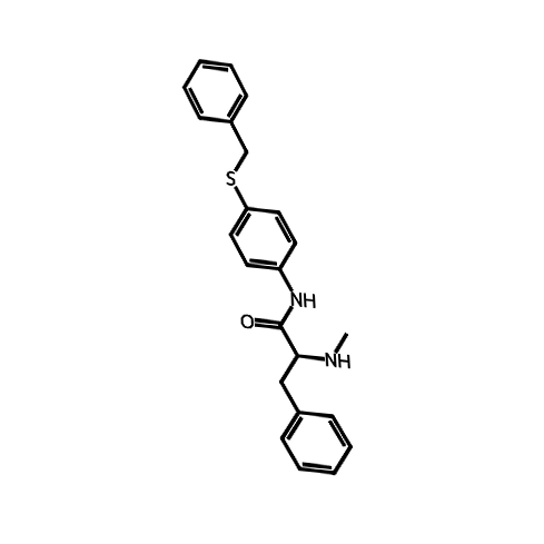 CNC(Cc1ccccc1)C(=O)Nc1ccc(SCc2ccccc2)cc1